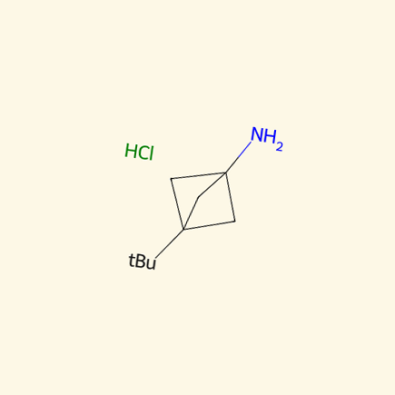 CC(C)(C)C12CC(N)(C1)C2.Cl